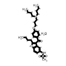 CCCCc1oc2ccc(NS(C)(=O)=O)cc2c1C(=O)c1ccc(OCCCN(CCCC)CCCC)cc1.O